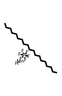 CCCCCCCCCCCCCCCCCCC.F[P-](F)(F)(F)(F)F.[H+].[Mn]